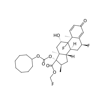 C[C@@H]1C[C@H]2[C@@H]3C[C@H](F)C4=CC(=O)C=C[C@]4(C)C3(F)[C@@H](O)C[C@]2(C)[C@]1(OC(=O)OC1CCCCCCC1)C(=O)OCF